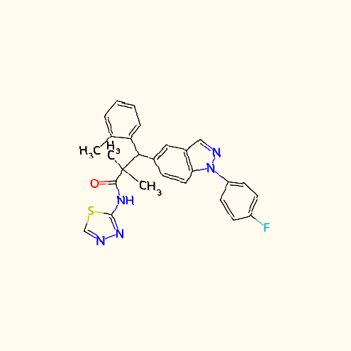 Cc1ccccc1C(c1ccc2c(cnn2-c2ccc(F)cc2)c1)C(C)(C)C(=O)Nc1nncs1